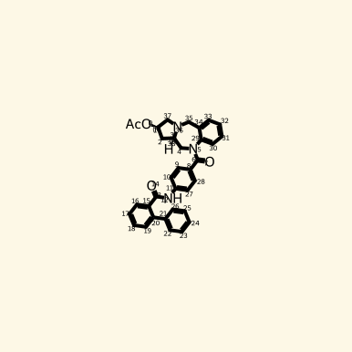 CC(=O)O[C@@H]1C[C@@H]2CN(C(=O)c3ccc(NC(=O)c4ccccc4-c4ccccc4)cc3)c3ccccc3CN2C1